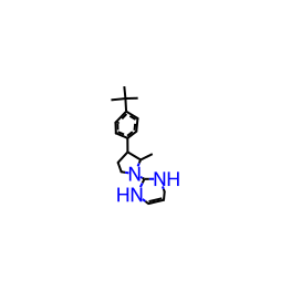 CC1C(c2ccc(C(C)(C)C)cc2)CCN1C1NC=CCN1